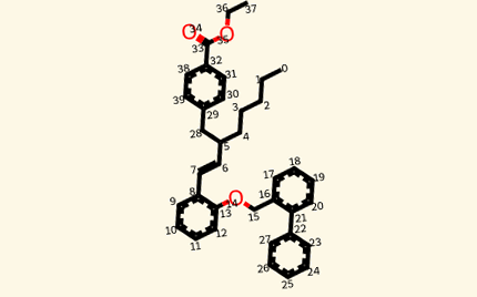 CCCCCC(/C=C/c1ccccc1OCc1ccccc1-c1ccccc1)Cc1ccc(C(=O)OCC)cc1